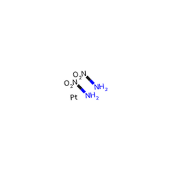 N[N+](=O)[O-].N[N+](=O)[O-].[Pt]